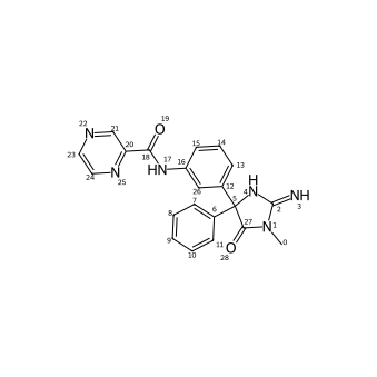 CN1C(=N)NC(c2ccccc2)(c2cccc(NC(=O)c3cnccn3)c2)C1=O